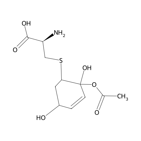 CC(=O)OC1(O)C=CC(O)CC1SC[C@H](N)C(=O)O